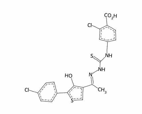 C/C(=N\NC(=S)Nc1ccc(C(=O)O)c(Cl)c1)c1csc(-c2ccc(Cl)cc2)c1O